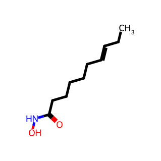 CCC=CCCCCCC(=O)NO